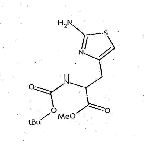 COC(=O)C(Cc1csc(N)n1)NC(=O)OC(C)(C)C